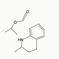 CC(C)OC=O.CC1CCc2ccccc2N1